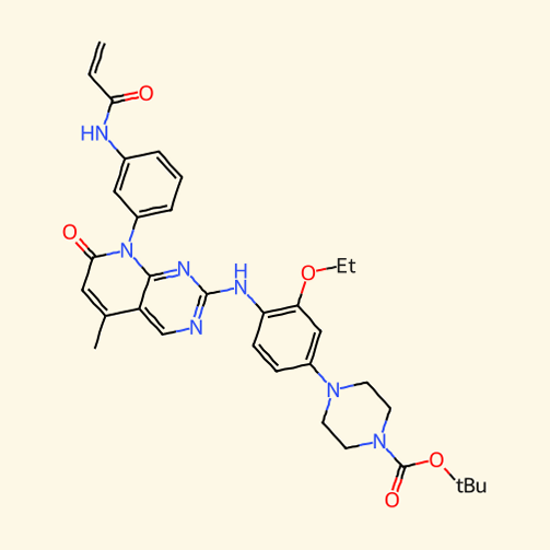 C=CC(=O)Nc1cccc(-n2c(=O)cc(C)c3cnc(Nc4ccc(N5CCN(C(=O)OC(C)(C)C)CC5)cc4OCC)nc32)c1